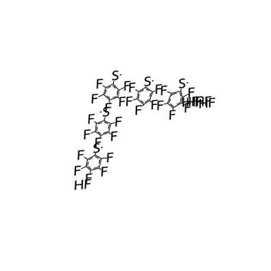 F.F.F.F.F.Fc1c(F)c(F)c([S])c(F)c1F.Fc1c(F)c(F)c([S])c(F)c1F.Fc1c(F)c(F)c([S])c(F)c1F.Fc1c(F)c(F)c([S])c(F)c1F.Fc1c(F)c(F)c([S])c(F)c1F